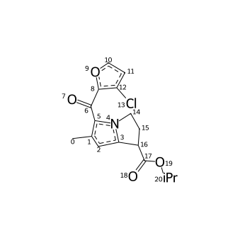 Cc1cc2n(c1C(=O)c1occc1Cl)CCC2C(=O)OC(C)C